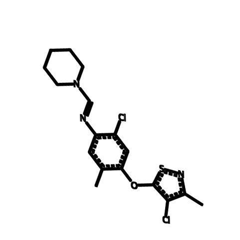 Cc1cc(/N=C/N2CCCCC2)c(Cl)cc1Oc1snc(C)c1Cl